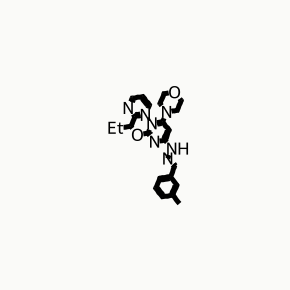 CCC(Oc1nc(NN=Cc2cccc(C)c2)cc(N2CCOCC2)n1)c1ncccn1